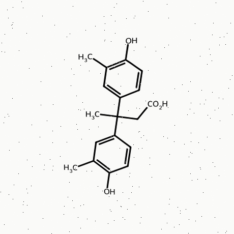 Cc1cc(C(C)(CC(=O)O)c2ccc(O)c(C)c2)ccc1O